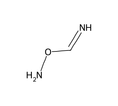 N=CON